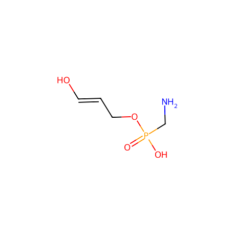 NCP(=O)(O)OCC=CO